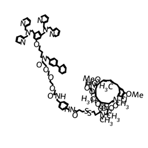 COc1cc2cc(c1Cl)N(C)C(=O)C[C@@H](OC(=O)[C@@H](C)N(C)C(=O)CCSSCCC(=O)NCc1ccc(CNC(=O)COCCOCCOCC(=O)N(CCCCOc3cc(CN(Cc4ccccn4)Cc4ccccn4)cc(CN(Cc4ccccn4)Cc4ccccn4)c3)Cc3ccc(-c4ccccc4)cc3)cc1)[C@@]1(C)O[C@@H]1[C@@H](C)[C@H]1C[C@](O)(NC(=O)O1)[C@@H](OC)/C=C/C=C(\C)C2